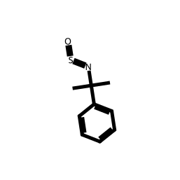 CC(C)(N=S=O)c1ccccc1